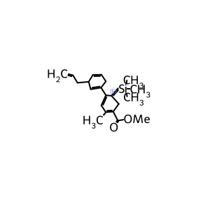 C=CCC1C=CCC(C2=CC(C)=C(C(=O)OC)C/C2=C\[Si](C)(C)C)=C1